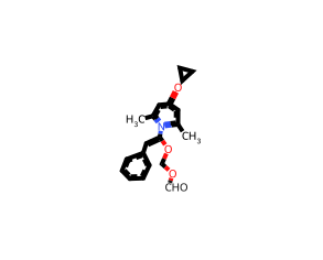 C1CC1.Cc1cc(=O)cc(C)n1C(=Cc1ccccc1)OCOC=O